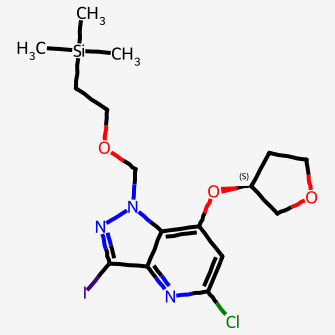 C[Si](C)(C)CCOCn1nc(I)c2nc(Cl)cc(O[C@H]3CCOC3)c21